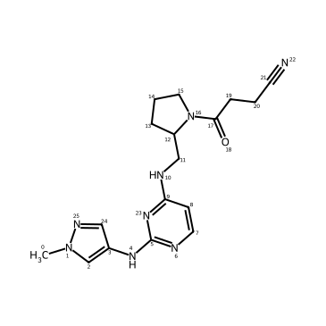 Cn1cc(Nc2nccc(NCC3CCCN3C(=O)CCC#N)n2)cn1